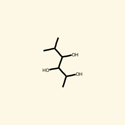 CC(C)C(O)C(O)C(C)O